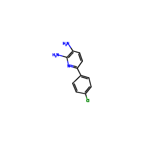 Nc1ccc(-c2ccc(Cl)cc2)nc1N